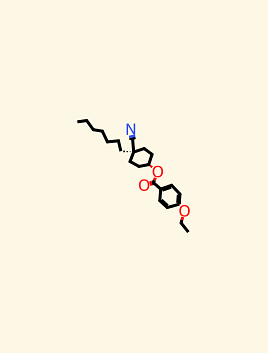 CCCCCCC[C@]1(C#N)CC[C@@H](OC(=O)c2ccc(OCC)cc2)CC1